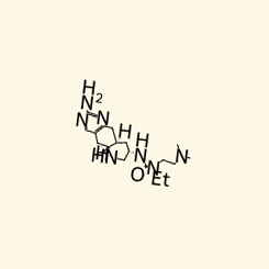 CCN(CCN(C)C)C(=O)N[C@@H]1CN[C@@H]2Cc3cnc(N)nc3C[C@H]2C1